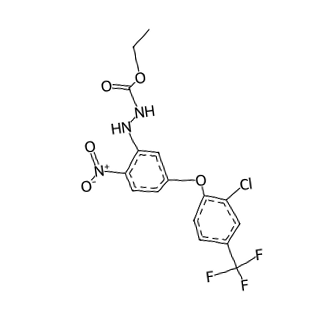 CCOC(=O)NNc1cc(Oc2ccc(C(F)(F)F)cc2Cl)ccc1[N+](=O)[O-]